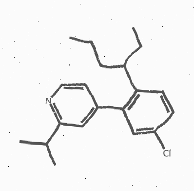 CCCC(CC)c1ccc(Cl)cc1-c1ccnc(C(C)C)c1